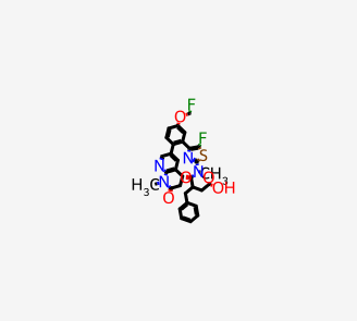 CN(C(=O)C(CC(=O)O)Cc1ccccc1)c1nc(-c2cc(OCF)ccc2-c2cnc3c(c2)CCC(=O)N3C)c(F)s1